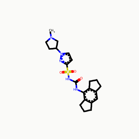 CN1CCC(n2ccc(S(=O)(=O)NC(=O)Nc3c4c(cc5c3CCC5)CCC4)n2)C1